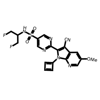 COc1cnc2c(c1)c(C#N)c(-c1ncc(S(=O)(=O)NC(CF)CF)cn1)n2C1=CC=C1